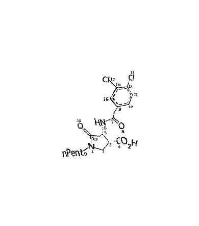 CCCCCN1C[C@@H](C(=O)O)[C@@H](NC(=O)c2ccc(Cl)c(Cl)c2)C1=O